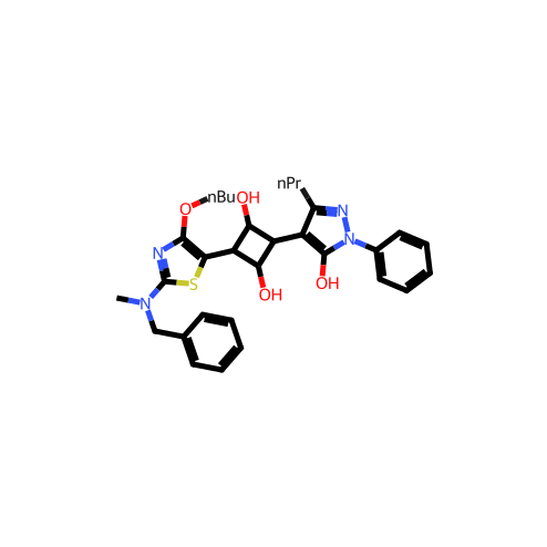 CCCCOc1nc(N(C)Cc2ccccc2)sc1C1C(O)C(c2c(CCC)nn(-c3ccccc3)c2O)C1O